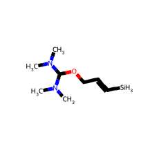 CN(C)C(OCC=C[SiH3])N(C)C